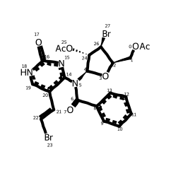 CC(=O)OC[C@H]1O[C@@H](N(C(=O)c2ccccc2)c2nc(=O)[nH]cc2C=CBr)[C@H](OC(C)=O)[C@H]1Br